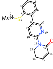 CNSc1ccccc1-c1ccc(N2CCC=CC2=O)nc1